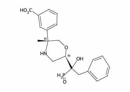 C[C@@]1(c2cccc(C(=O)O)c2)CO[C@@H](C(O)(Cc2ccccc2)[PH2]=O)CN1